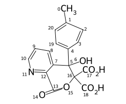 Cc1ccc(C2(O)c3cccnc3C(=O)OC2(C(=O)O)C(=O)O)cc1